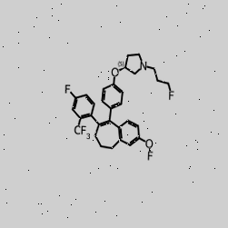 FCCCN1CC[C@H](Oc2ccc(C3=C(c4ccc(F)cc4C(F)(F)F)CCCc4cc(OF)ccc43)cc2)C1